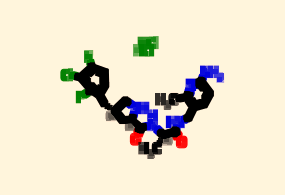 Cc1nc(N)ccc1CNC(=O)[C@H](C)NC(=O)[C@H]1C[C@H](Cc2ccc(F)c(Cl)c2F)CN1.Cl.Cl